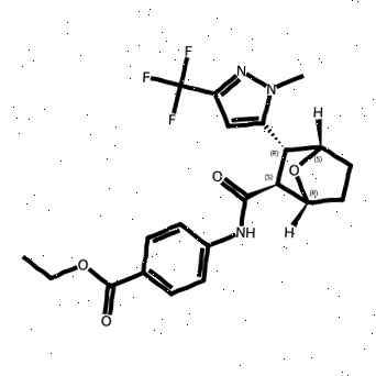 CCOC(=O)c1ccc(NC(=O)[C@H]2[C@H](c3cc(C(F)(F)F)nn3C)[C@@H]3CC[C@H]2O3)cc1